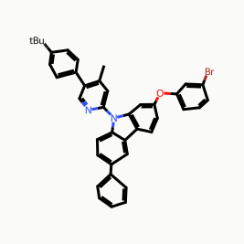 Cc1cc(-n2c3ccc(-c4ccccc4)cc3c3ccc(Oc4cccc(Br)c4)cc32)ncc1-c1ccc(C(C)(C)C)cc1